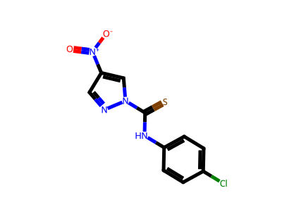 O=[N+]([O-])c1cnn(C(=S)Nc2ccc(Cl)cc2)c1